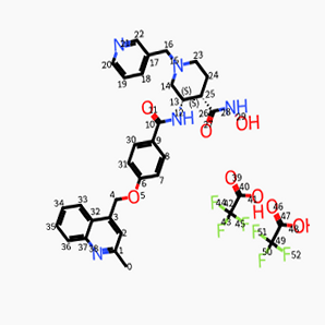 Cc1cc(COc2ccc(C(=O)N[C@@H]3CN(Cc4cccnc4)CC[C@@H]3C(=O)NO)cc2)c2ccccc2n1.O=C(O)C(F)(F)F.O=C(O)C(F)(F)F